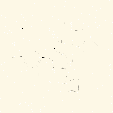 CCOC(=O)C1=C(CN2CCSC[C@H]2C(C)CC(=O)O)NC(c2nccs2)=N[C@H]1c1ccc(F)cc1Br